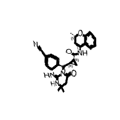 C[C@H]1C[C@H](NC(=O)[C@@H]2C[C@H]2[C@H](C2C=CC(C#N)=CC2)N2C(=N)NC(C)(C)CC2=O)c2ccccc2O1